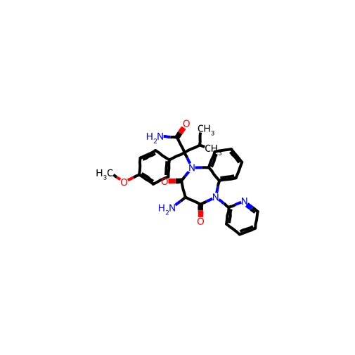 COc1ccc(C(C(N)=O)(C(C)C)N2C(=O)C(N)C(=O)N(c3ccccn3)c3ccccc32)cc1